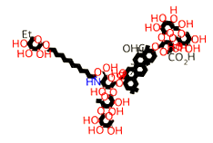 CC[C@H]1O[C@@H](OCCCCCCCCCCCC(=O)N[C@@H]2C(O)C(O[C@@H]3OC(C)[C@H](O[C@@H]4OC[C@@H](O)C(O)C4O)C(O)C3O)[C@H](OC(=O)[C@]34CCC(C)(C)CC3C3=CCC5C6(C)CC[C@H](O[C@@H]7OC(C(=O)O)[C@@H](O)[C@H](O[C@@H]8OC[C@@H](O)[C@H](O)C8O)C7O[C@@H]7OC(CO)[C@H](O)[C@H](O)C7O)[C@](C)(C=O)[C@@H]6CC[C@]5(C)[C@]3(C)CC4O)O[C@@H]2CO)C(O)C(O)[C@H]1O